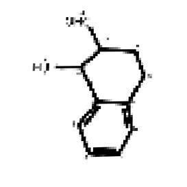 CC1c2ccccc2CCC1C=O